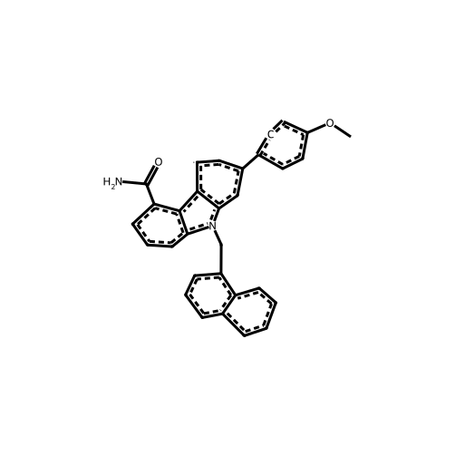 COc1ccc(-c2c[c]c3c4c(C(N)=O)cccc4n(Cc4cccc5ccccc45)c3c2)cc1